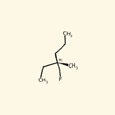 CCC[C@](C)(F)CC